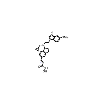 COc1ccc2c(CCN(CC3CC3)C3CCc4cc(/C=C/C(=O)NO)ccc43)c[nH]c2c1